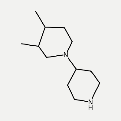 CC1CCN(C2CCNCC2)CC1C